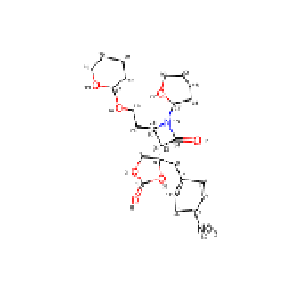 O=C1OCC(Cc2ccc([N+](=O)[O-])cc2)([C@H]2C(=O)N(C3CCCCO3)[C@@H]2CCOC2CCCCO2)O1